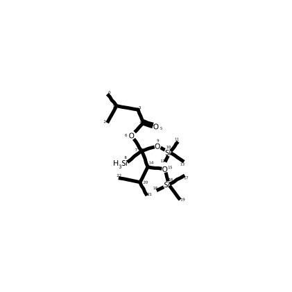 CC(C)CC(=O)OC([SiH3])(O[Si](C)(C)C)C(O[Si](C)(C)C)C(C)C